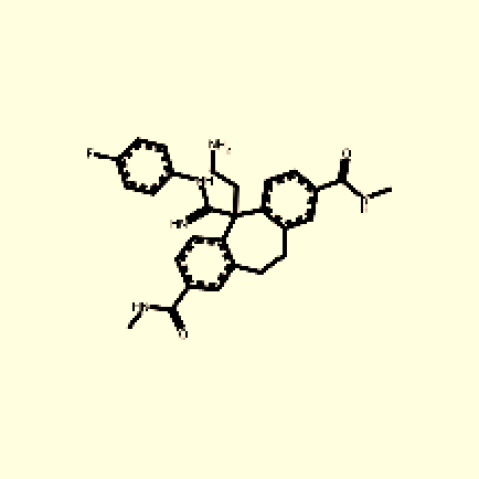 CNC(=O)c1ccc2c(c1)CCc1cc(C(=O)NC)ccc1C2(CCN)C(=N)Nc1ccc(F)cc1